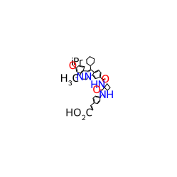 CC(C)Oc1ccc2c(c1)N(C)CCn1c-2c(C2CCCCC2)c2ccc(C(=O)NC3(C(=O)Nc4ccc(/C=C/C(=O)O)cc4)CCC3)cc21